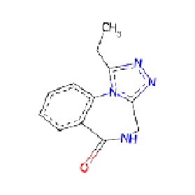 CCc1nnc2n1-c1ccccc1C(=O)NC2